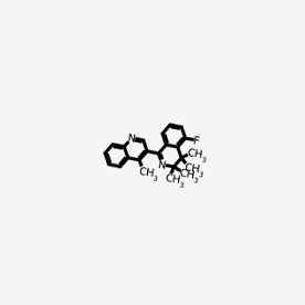 Cc1c(C2=NC(C)(C)C(C)(C)c3c(F)cccc32)cnc2ccccc12